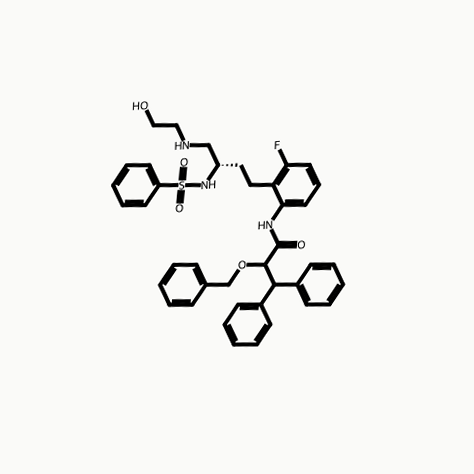 O=C(Nc1cccc(F)c1CC[C@@H](CNCCO)NS(=O)(=O)c1ccccc1)C(OCc1ccccc1)C(c1ccccc1)c1ccccc1